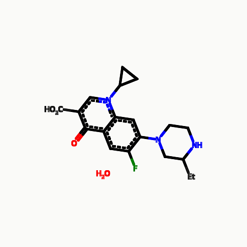 CCC1CN(c2cc3c(cc2F)c(=O)c(C(=O)O)cn3C2CC2)CCN1.O